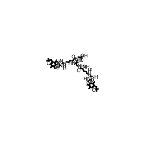 Cc1c(C)c(S(=O)(=O)NC(=N)NCCC[C@H](NC(=O)CNC(=O)[C@@H](N)CCCNC(=N)NS(=O)(=O)c2c(C)c(C)c3c(c2C)CC(C)(C)O3)C(=O)NCC(=O)O)c(C)c2c1OC(C)(C)C2